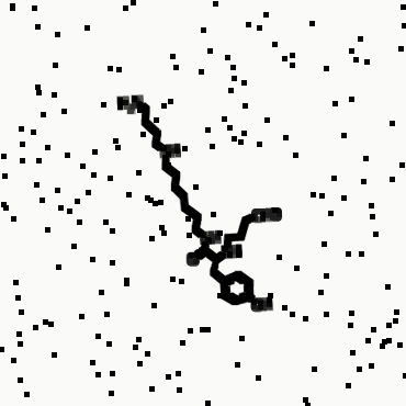 NCCCCNCCCCCCCNC(=O)[C@H](Cc1ccc(O)cc1)NCCCC=O